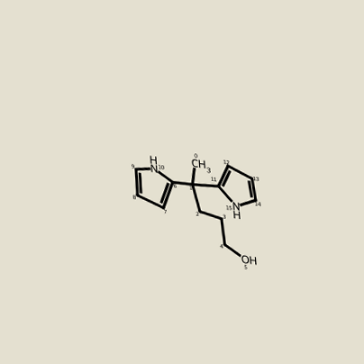 CC(CCCO)(c1ccc[nH]1)c1ccc[nH]1